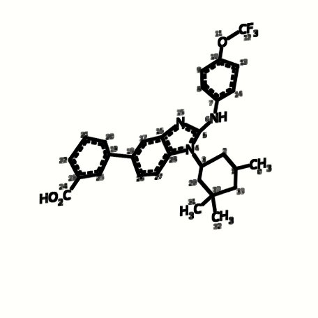 CC1CC(n2c(Nc3ccc(OC(F)(F)F)cc3)nc3cc(-c4cccc(C(=O)O)c4)ccc32)CC(C)(C)C1